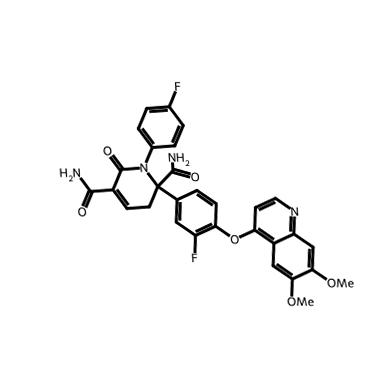 COc1cc2nccc(Oc3ccc(C4(C(N)=O)CC=C(C(N)=O)C(=O)N4c4ccc(F)cc4)cc3F)c2cc1OC